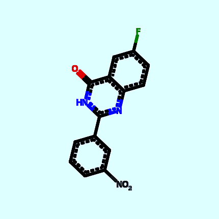 O=c1[nH]c(-c2cccc([N+](=O)[O-])c2)nc2ccc(F)cc12